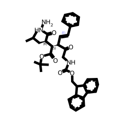 CC(C)C[C@@H](C(=O)NN)[C@@H](C(=O)OC(C)(C)C)C(/C=C/c1ccccc1)C(=O)CNC(=O)OCC1c2ccccc2-c2ccccc21